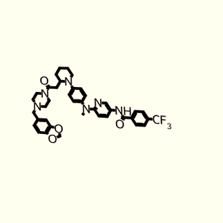 CN(c1ccc(N2CCCCC2CC(=O)N2CCN(Cc3ccc4c(c3)OCO4)CC2)cc1)c1ccc(NC(=O)c2ccc(C(F)(F)F)cc2)cn1